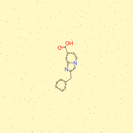 O=C(O)c1ccn2cc(Cc3ccccc3)nc2c1